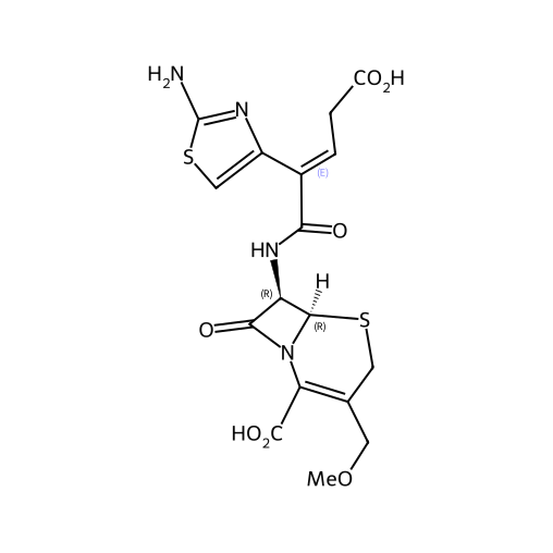 COCC1=C(C(=O)O)N2C(=O)[C@@H](NC(=O)/C(=C/CC(=O)O)c3csc(N)n3)[C@H]2SC1